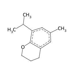 Cc1cc2c(c(C(C)C)c1)OCCC2